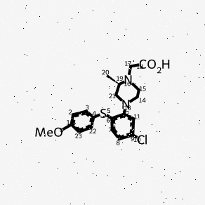 COc1ccc(Sc2ccc(Cl)cc2N2CCN(CC(=O)O)[C@H](C)C2)cc1